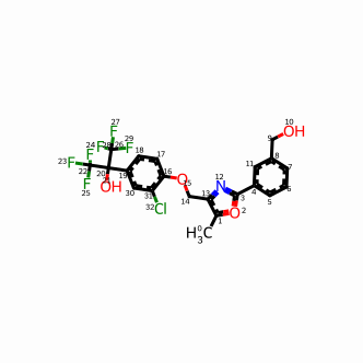 Cc1oc(-c2cccc(CO)c2)nc1COc1ccc(C(O)(C(F)(F)F)C(F)(F)F)cc1Cl